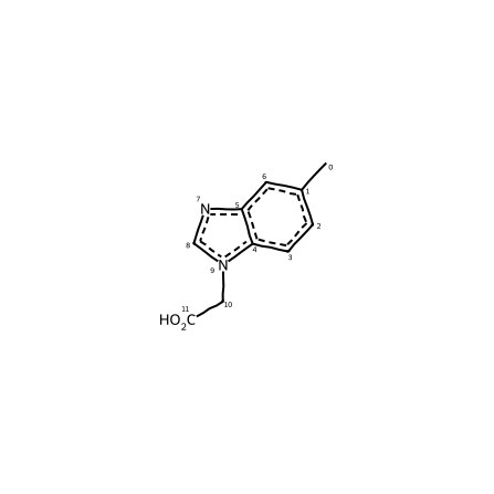 Cc1ccc2c(c1)ncn2CC(=O)O